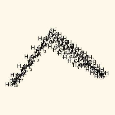 CCN1C=CN(C)C1.CCN1C=CN(C)C1.CCN1C=CN(C)C1.CCN1C=CN(C)C1.CCN1C=CN(C)C1.CCN1C=CN(C)C1.CCN1C=CN(C)C1.CCN1C=CN(C)C1.CCN1C=CN(C)C1.CCN1C=CN(C)C1.CCN1C=CN(C)C1.CCN1C=CN(C)C1.OP(O)F.OP(O)F.OP(O)F.OP(O)F.OP(O)F.OP(O)F